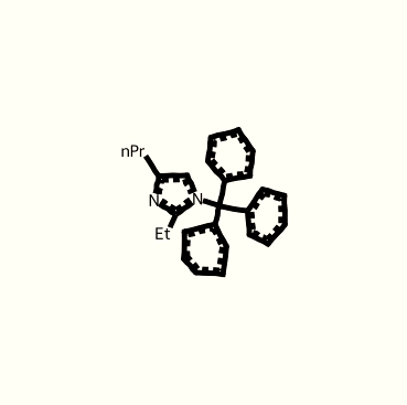 CCCc1cn(C(c2ccccc2)(c2ccccc2)c2ccccc2)c(CC)n1